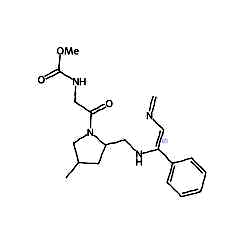 C=N/C=C(\NCC1CC(C)CN1C(=O)CNC(=O)OC)c1ccccc1